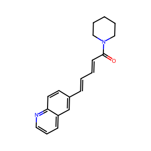 O=C(/C=C/C=C/c1ccc2ncccc2c1)N1CCCCC1